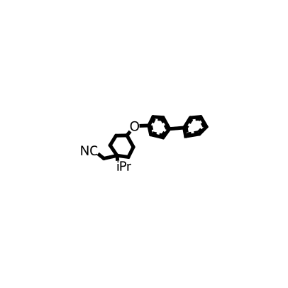 CC(C)C1(CC#N)CCC(Oc2ccc(-c3ccccc3)cc2)CC1